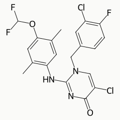 Cc1cc(OC(F)F)c(C)cc1Nc1nc(=O)c(Cl)cn1Cc1ccc(F)c(Cl)c1